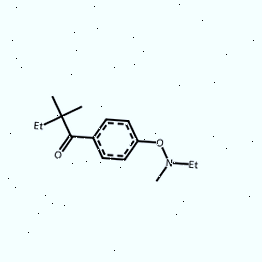 CCN(C)Oc1ccc(C(=O)C(C)(C)CC)cc1